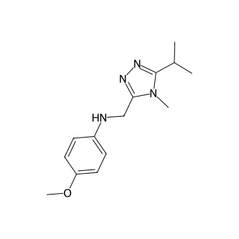 COc1ccc(NCc2nnc(C(C)C)n2C)cc1